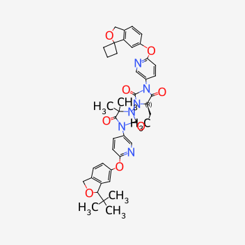 CC[C@@H]1C(=O)N(c2ccc(Oc3ccc4c(c3)C3(CCC3)OC4)nc2)C(=O)N1N1C(=O)N(c2ccc(Oc3ccc4c(c3)C(C(C)(C)C)OC4)nc2)C(=O)C1(C)C